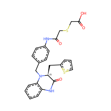 O=C(O)CSCC(=O)Nc1ccc(CN2c3ccccc3NC(=O)[C@@H]2Cc2cccs2)cc1